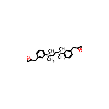 C[Si](C)(CC[Si](C)(C)c1cccc(CC2CO2)c1)c1cccc(CC2CO2)c1